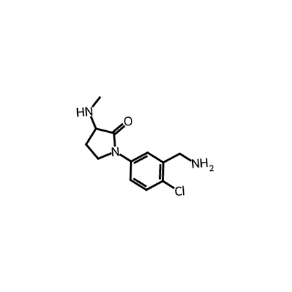 CNC1CCN(c2ccc(Cl)c(CN)c2)C1=O